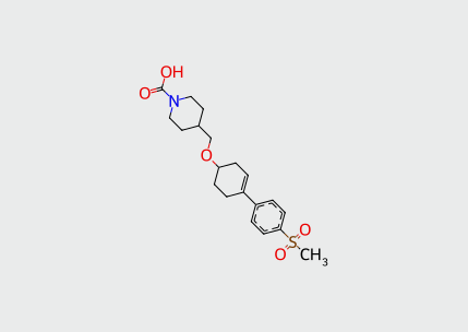 CS(=O)(=O)c1ccc(C2=CCC(OCC3CCN(C(=O)O)CC3)CC2)cc1